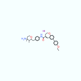 CCOc1ccc(-c2ccc3c(c2)C=C(C(=O)Nc2ccc(CC4OCCC(C)(N)C4C)cc2)CCO3)cc1.I